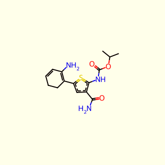 CC(C)OC(=O)Nc1sc(C2=C(N)C=CCC2)cc1C(N)=O